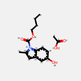 CC(=O)O.CCCCOC(=O)n1c(C)cc2cc(O)ccc21